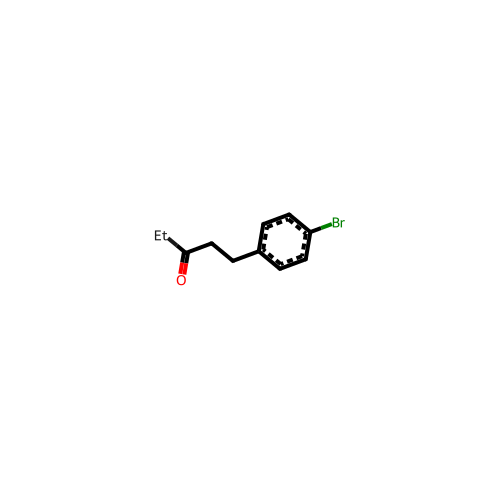 CCC(=O)CCc1ccc(Br)cc1